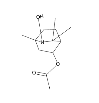 CC(=O)OC1CC2(C)CCC1C(C)(C)N2O